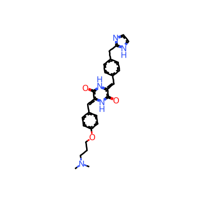 CN(C)CCCOc1ccc(C=c2[nH]c(=O)c(=Cc3ccc(Cc4ncc[nH]4)cc3)[nH]c2=O)cc1